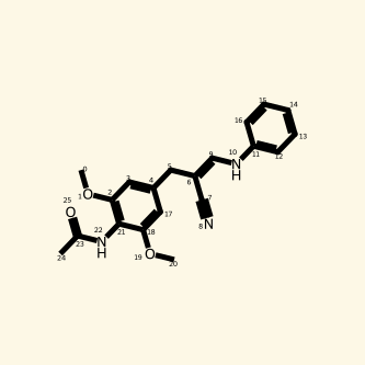 COc1cc(CC(C#N)=CNc2ccccc2)cc(OC)c1NC(C)=O